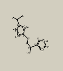 CC(C)c1nnc(CCC(C)c2cnco2)s1